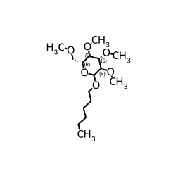 CCCCCCOC1O[C@H](COC)[C@@H](OC)[C@H](OC)[C@H]1OC